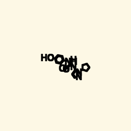 O=C(Nc1ccc(O)cc1Cl)Nc1ccnn1C1CCCC1